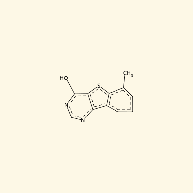 Cc1cccc2c1sc1c(O)ncnc12